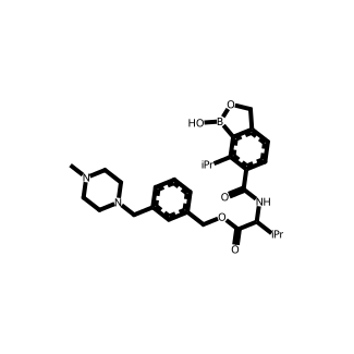 CC(C)c1c(C(=O)NC(C(=O)OCc2cccc(CN3CCN(C)CC3)c2)C(C)C)ccc2c1B(O)OC2